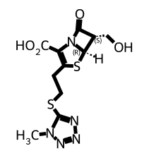 Cn1nnnc1SCCC1=C(C(=O)O)N2C(=O)[C@H](CO)[C@H]2S1